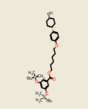 CCC[C@H]1CC[C@H](c2ccc(OCCCCCCOC(=O)c3cc(O[Si](C)(C)C(C)(C)C)cc(O[Si](C)(C)C(C)(C)C)c3)cc2)CC1